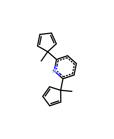 CC1(c2cccc(C3(C)C=CC=C3)n2)C=CC=C1